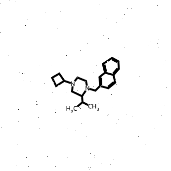 CC(C)C1CN(C2CCC2)CCN1Cc1ccc2ccccc2c1